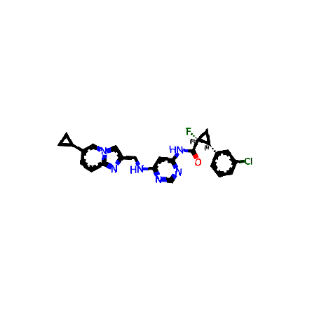 O=C(Nc1cc(NCc2cn3cc(C4CC4)ccc3n2)ncn1)[C@@]1(F)C[C@@H]1c1cccc(Cl)c1